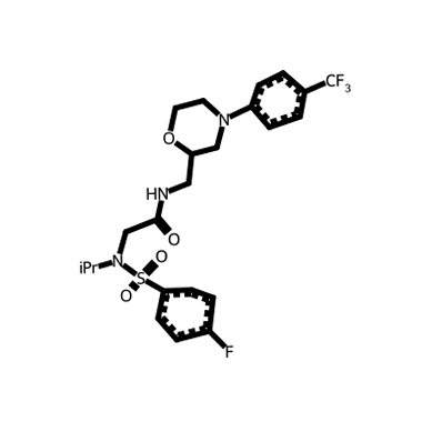 CC(C)N(CC(=O)NCC1CN(c2ccc(C(F)(F)F)cc2)CCO1)S(=O)(=O)c1ccc(F)cc1